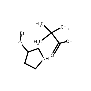 CC(C)(C)C(=O)O.CCOC1CCNC1